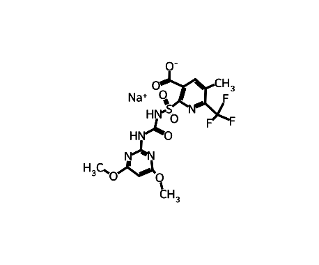 COc1cc(OC)nc(NC(=O)NS(=O)(=O)c2nc(C(F)(F)F)c(C)cc2C(=O)[O-])n1.[Na+]